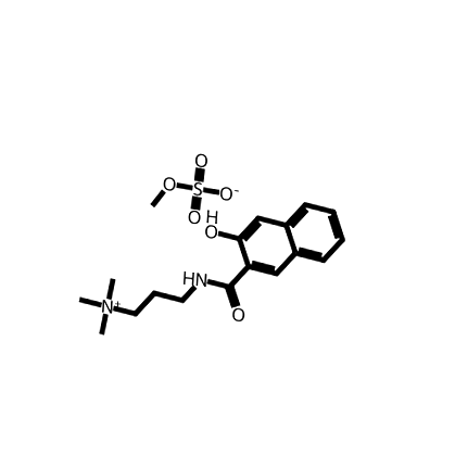 COS(=O)(=O)[O-].C[N+](C)(C)CCCNC(=O)c1cc2ccccc2cc1O